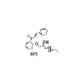 CCCNCC(O)COc1ccccc1C(=O)/C=C/c1ccccc1.Cl